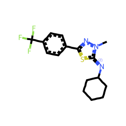 Cn1nc(-c2ccc(C(F)(F)F)cc2)s/c1=N\C1CCCCC1